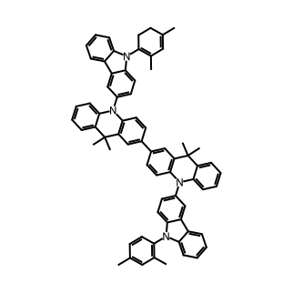 CC1=CC(C)=C(n2c3ccccc3c3cc(N4c5ccccc5C(C)(C)c5cc(-c6ccc7c(c6)C(C)(C)c6ccccc6N7c6ccc7c(c6)c6ccccc6n7-c6ccc(C)cc6C)ccc54)ccc32)CC1